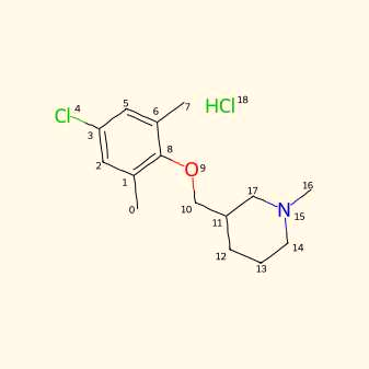 Cc1cc(Cl)cc(C)c1OCC1CCCN(C)C1.Cl